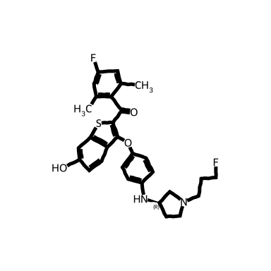 Cc1cc(F)cc(C)c1C(=O)c1sc2cc(O)ccc2c1Oc1ccc(N[C@@H]2CCN(CCCF)C2)cc1